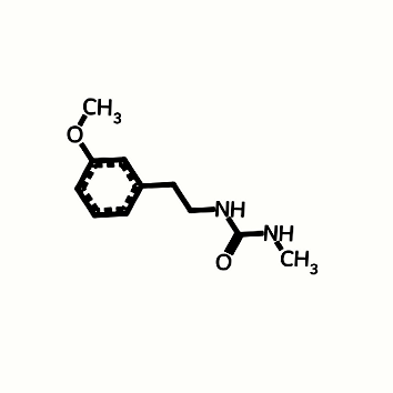 CNC(=O)NCCc1cccc(OC)c1